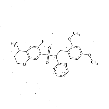 COc1ccc(CN(c2ncccn2)S(=O)(=O)c2cc3c(cc2F)C(C)CCO3)c(OC)c1